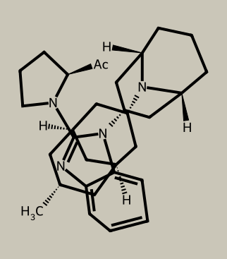 CC(=O)[C@@H]1CCCN1c1nc2ccccc2n1[C@H]1C[C@H]2CCC[C@@H](C1)N2[C@H]1C[C@@H]2C[C@@H](C)C[C@@H](C2)C1